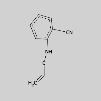 C=CCNc1ccccc1C#N